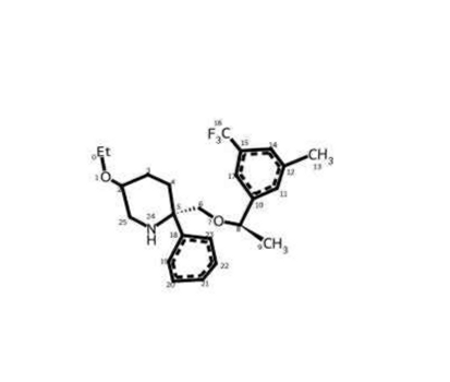 CCOC1CC[C@@](CO[C@H](C)c2cc(C)cc(C(F)(F)F)c2)(c2ccccc2)NC1